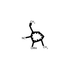 C=Cc1ccc(C)c(OC)c1C#N